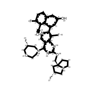 C#Cc1c(F)ccc2cc(O)cc(-c3ncc4c(N5CCOC[C@H](F)C5)nc(OC[C@@]56CCCN5C[C@H](F)C6)nc4c3F)c12